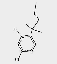 CCCC(C)(C)c1ccc(Cl)cc1F